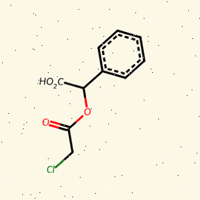 O=C(CCl)OC(C(=O)O)c1ccccc1